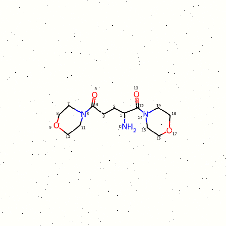 NC(CCC(=O)N1CCOCC1)C(=O)N1CCOCC1